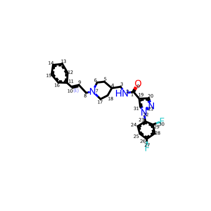 O=C(NCC1CCN(C/C=C/c2ccccc2)CC1)c1cnn(-c2ccc(F)cc2F)c1